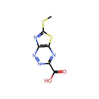 CSc1nc2nnc(C(=O)O)nc2s1